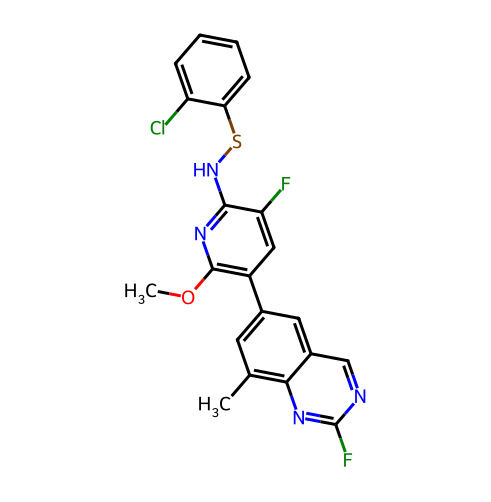 COc1nc(NSc2ccccc2Cl)c(F)cc1-c1cc(C)c2nc(F)ncc2c1